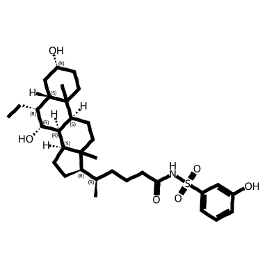 CC[C@H]1[C@@H](O)[C@@H]2[C@@H]3CC[C@H]([C@H](C)CCCC(=O)NS(=O)(=O)c4cccc(O)c4)C3(C)CC[C@@H]2C2(C)CC[C@@H](O)C[C@@H]12